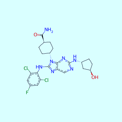 NC(=O)[C@H]1CC[C@H](n2c(Nc3c(Cl)cc(F)cc3Cl)nc3cnc(N[C@@H]4CC[C@@H](O)C4)nc32)CC1